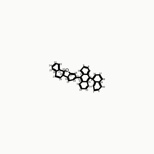 c1ccc2c(-c3c4ccccc4c(-c4ccc5c(c4)oc4c6ccccc6ccc54)c4ccccc34)cccc2c1